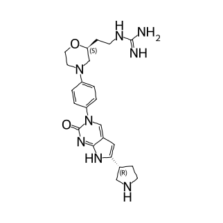 N=C(N)NCC[C@H]1CN(c2ccc(-n3cc4cc([C@@H]5CCNC5)[nH]c4nc3=O)cc2)CCO1